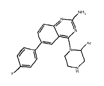 CC(=O)C1CNCCN1c1nc(N)nc2ccc(-c3ccc(F)cc3)cc12